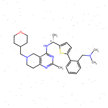 Cc1nc2c(c(N[C@H](C)c3ccc(-c4ccccc4CN(C)C)s3)n1)CN(CC1CCOCC1)CC2